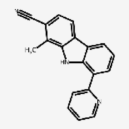 Cc1c(C#N)ccc2c1[nH]c1c(-c3ccccn3)cccc12